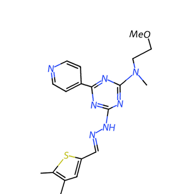 COCCN(C)c1nc(N/N=C/c2cc(C)c(C)s2)nc(-c2ccncc2)n1